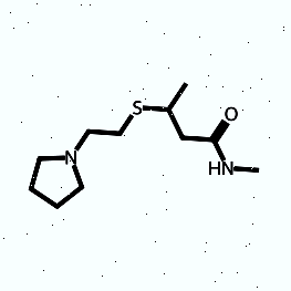 CNC(=O)CC(C)SCCN1CCCC1